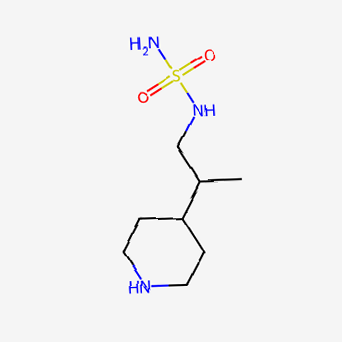 CC(CNS(N)(=O)=O)C1CCNCC1